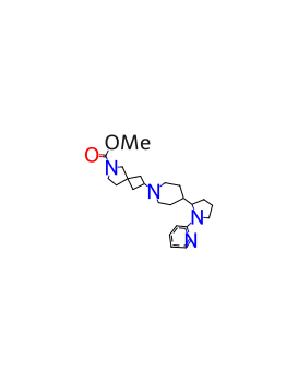 COC(=O)N1CCC2(CC(N3CCC(C4CCCN4c4ccccn4)CC3)C2)C1